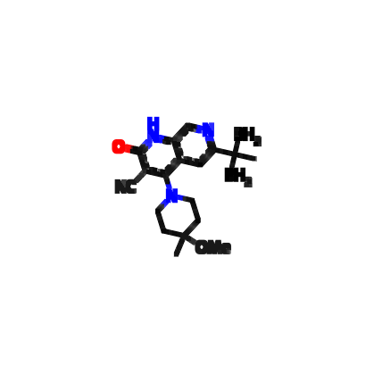 BC(B)(C)c1cc2c(N3CCC(C)(OC)CC3)c(C#N)c(=O)[nH]c2cn1